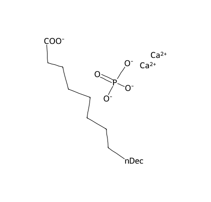 CCCCCCCCCCCCCCCCCC(=O)[O-].O=P([O-])([O-])[O-].[Ca+2].[Ca+2]